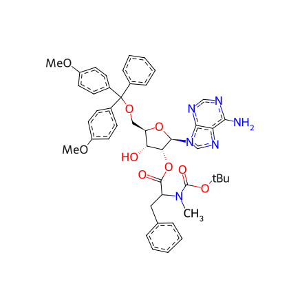 COc1ccc(C(OC[C@H]2O[C@@H](n3cnc4c(N)ncnc43)[C@H](OC(=O)C(Cc3ccccc3)N(C)C(=O)OC(C)(C)C)[C@@H]2O)(c2ccccc2)c2ccc(OC)cc2)cc1